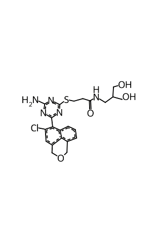 Nc1nc(SCCC(=O)NCC(CO)CO)nc(-c2c(Cl)cc3c4c(cccc24)COC3)n1